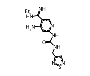 CCNC(=N)c1cnc(NC(=O)NCc2cnsn2)cc1N